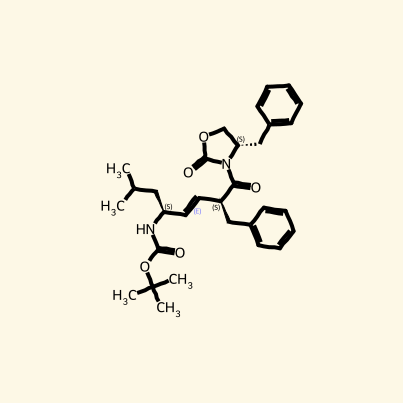 CC(C)C[C@@H](/C=C/[C@H](Cc1ccccc1)C(=O)N1C(=O)OC[C@@H]1Cc1ccccc1)NC(=O)OC(C)(C)C